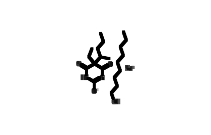 CCCC(C)C1(CC)C(=O)N=C([O-])NC1=O.CCCCCCCCCO.[Na+]